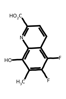 Cc1c(F)c(F)c2ccc(C(=O)O)nc2c1O